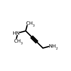 CNC(C)C#CCN